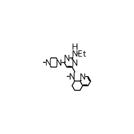 CCNc1nc(CN(C)C2CCCc3cccnc32)cc(N2CCN(C)CC2)n1